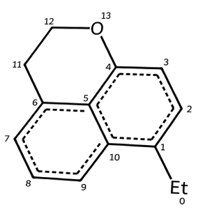 CCc1ccc2c3c(cccc13)CCO2